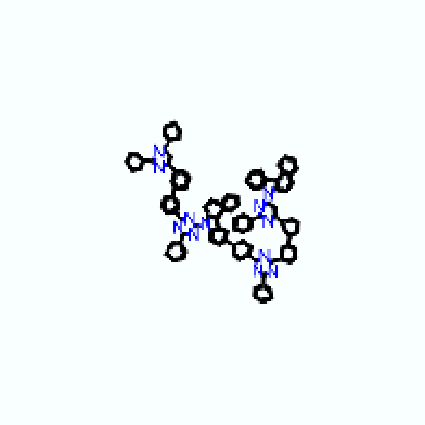 c1ccc(-c2cc(-c3cccc(-c4cccc(-c5nc(-c6ccccc6)nc(-n6c7ccc(-c8ccc(-c9nc(-c%10ccccc%10)nc(-c%10cccc(-c%11cccc(-c%12cc(-n%13c%14ccccc%14c%14c%15ccccc%15ccc%14%13)nc(-c%13ccccc%13)n%12)c%11)c%10)n9)cc8)cc7c7c8ccccc8ccc76)n5)c4)c3)nc(-c3ccccc3)n2)cc1